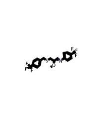 COC(/C=N/c1ccc(C(F)(F)F)cc1)CSCc1ccc(C(F)(F)F)cc1